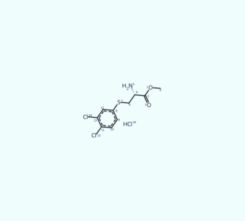 COC(=O)[C@@H](N)CSc1ccc(Cl)c(Cl)c1.Cl